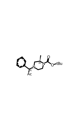 CC(=O)[C@@H](c1ccccc1)N1CCN(C(=O)OC(C)(C)C)[C@H](C)C1